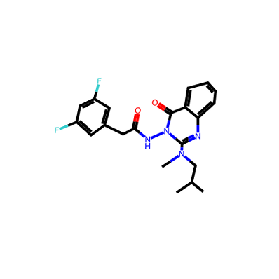 CC(C)CN(C)c1nc2ccccc2c(=O)n1NC(=O)Cc1cc(F)cc(F)c1